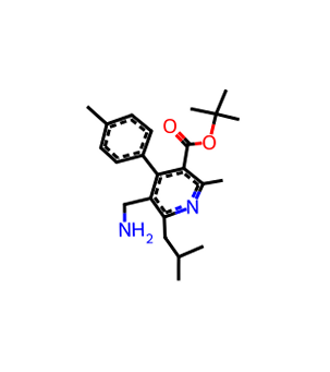 Cc1ccc(-c2c(CN)c(CC(C)C)nc(C)c2C(=O)OC(C)(C)C)cc1